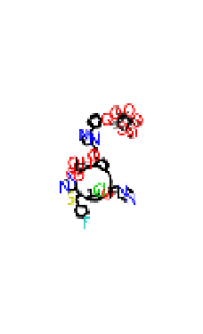 CO[C@H]1O[C@H](COc2cccc(-c3nccc(COc4ccc5cc4C[C@H](C(=O)O)Oc4ncnc6sc(-c7ccc(F)cc7)c(c46)-c4ccc(c(Cl)c4C)O[C@H](CN4CCN(C)CC4)CC5)n3)c2)[C@@H](OC)[C@H](OC)[C@@H]1OC